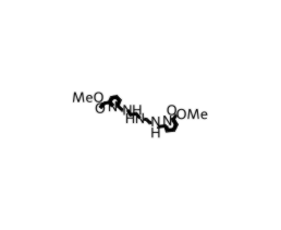 COC(=O)c1cccc(CNCCNCCNCc2cccc(C(=O)OC)n2)n1